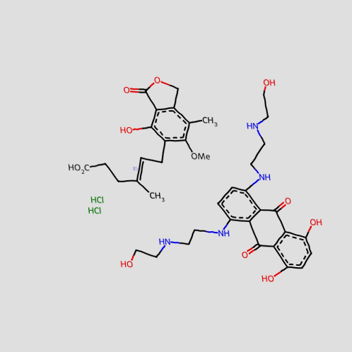 COc1c(C)c2c(c(O)c1C/C=C(\C)CCC(=O)O)C(=O)OC2.Cl.Cl.O=C1c2c(O)ccc(O)c2C(=O)c2c(NCCNCCO)ccc(NCCNCCO)c21